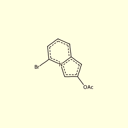 CC(=O)Oc1cc2cccc(Br)n2c1